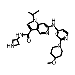 COC1CCN(c2nccc(Nc3cc4c(cn3)c(C(=O)NC3CNC3)cn4C(C)C)n2)CC1